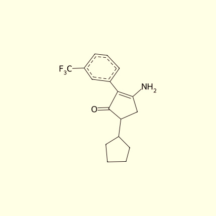 NC1=C(c2cccc(C(F)(F)F)c2)C(=O)C(C2CCCC2)C1